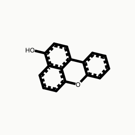 Oc1ccc2c3c(cccc13)Oc1ccccc1-2